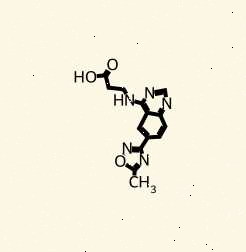 Cc1nc(-c2ccc3ncnc(NCCC(=O)O)c3c2)no1